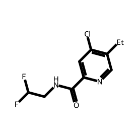 CCc1cnc(C(=O)NCC(F)F)cc1Cl